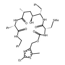 CCc1nc(COC(=O)N[C@@H](CSC)C(=O)N[C@@H](CC(C)C)[C@@H](O)C[C@@H](C)C(=O)N[C@H](C(=O)NCC(C)C)C(C)C)c(C)s1